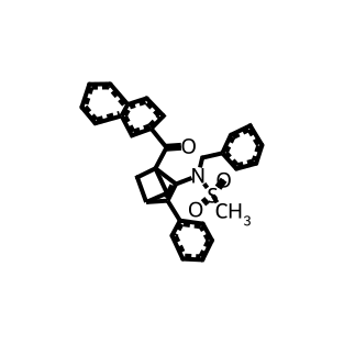 CS(=O)(=O)N(Cc1ccccc1)C1=C(c2ccccc2)C2CC1(C(=O)c1ccc3ccccc3c1)C2